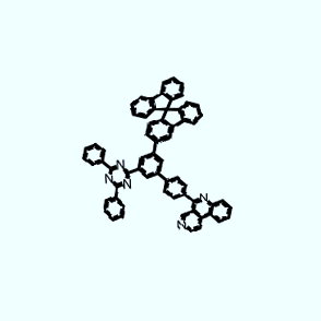 c1ccc(-c2nc(-c3ccccc3)nc(-c3cc(-c4ccc(-c5nc6ccccc6c6ccncc56)cc4)cc(-c4ccc5c(c4)-c4ccccc4C54c5ccccc5-c5ccccc54)c3)n2)cc1